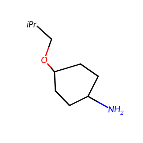 CC(C)COC1CCC(N)CC1